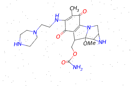 COC12C(COC(N)=O)C3=C(C(=O)C(C)=C(NCCN4CCNCC4)C3=O)N1CC1NC12